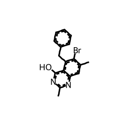 Cc1nc(O)c2c(Cc3ccccc3)c(Br)c(C)cc2n1